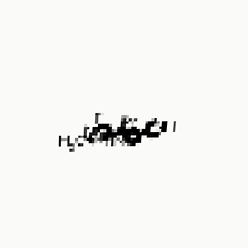 Cc1cn2cc(-c3[nH]c4ccc(C5CCNCC5)cc4c3C(C)C)cc(F)c2n1